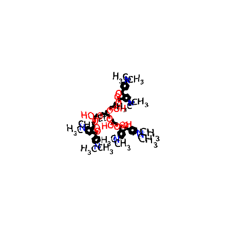 CCC(COCC(O)COC(=O)c1cc(N(C)C)ccc1C(=O)c1ccc(N(C)C)cc1)(COCC(O)COC(O)c1cc(N(C)C)ccc1C(=O)c1ccc(N(C)C)cc1)COCC(O)OCC(=O)c1cc(N(C)C)ccc1C(=O)c1ccc(N(C)C)cc1